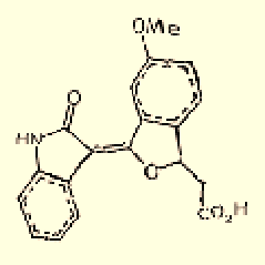 COc1ccc2c(c1)/C(=C1\C(=O)Nc3ccccc31)OC2CC(=O)O